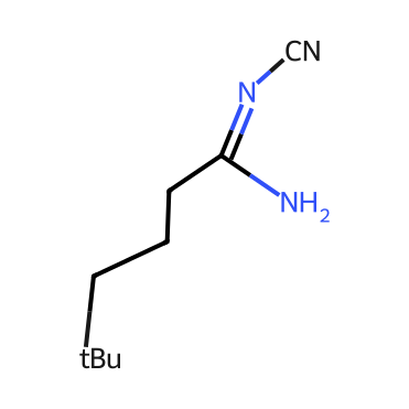 CC(C)(C)CCC/C(N)=N/C#N